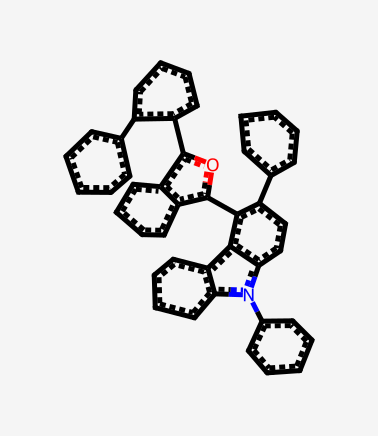 c1ccc(-c2ccccc2-c2oc(-c3c(-c4ccccc4)ccc4c3c3ccccc3n4-c3ccccc3)c3ccccc23)cc1